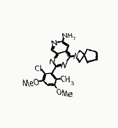 COc1cc(OC)c(Cl)c(-c2nc(N3CC4(CCCC4)C3)c3cc(N)ncc3n2)c1C